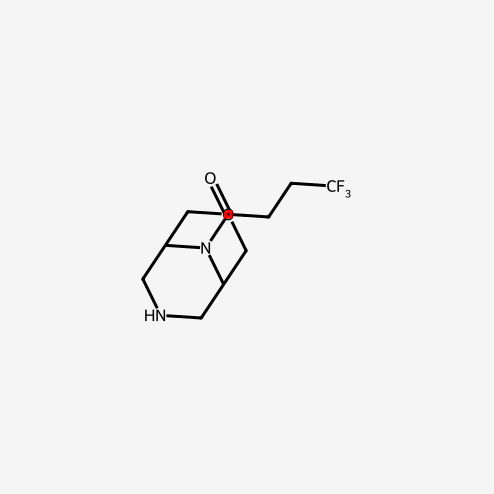 O=C(CCC(F)(F)F)N1C2CNCC1COC2